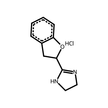 Cl.c1ccc2c(c1)CC(C1=NCCN1)O2